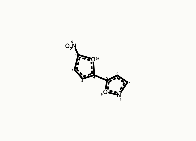 O=[N+]([O-])c1ccc(-c2ccno2)o1